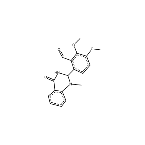 COc1ccc(C2NC(=O)c3ccccc3N2C)c(C=O)c1OC